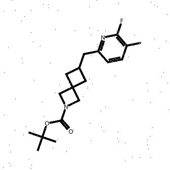 Cc1ccc(CC2CC3(C2)CN(C(=O)OC(C)(C)C)C3)nc1F